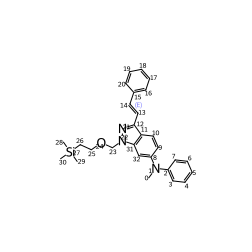 CN(c1ccccc1)c1ccc2c(/C=C/c3ccccc3)nn(COCC[Si](C)(C)C)c2c1